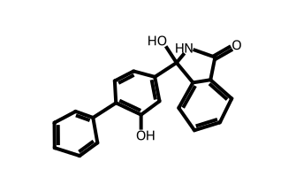 O=C1NC(O)(c2ccc(-c3ccccc3)c(O)c2)c2ccccc21